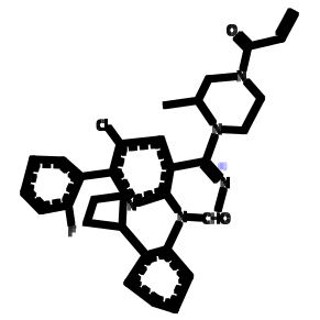 C=CC(=O)N1CCN(/C(=N/C)c2cc(Cl)c(-c3ccccc3F)nc2N(C=O)c2ccccc2C2CCC2)C(C)C1